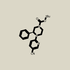 CC(C)(C)OC(=O)N1CCN(c2ccc(C#N)cn2)[C@@H](c2ccccc2)C1